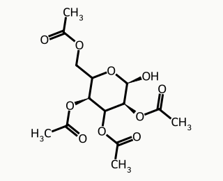 CC(=O)OCC1O[C@@H](O)[C@@H](OC(C)=O)C(OC(C)=O)[C@H]1OC(C)=O